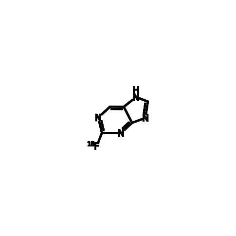 [18F]c1ncc2[nH]cnc2n1